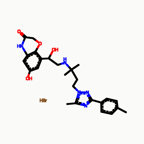 Br.Cc1ccc(-c2nc(C)n(CCC(C)(C)NCC(O)c3cc(O)cc4c3OCC(=O)N4)n2)cc1